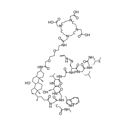 C=CN/C=N\C[C@H](NC(=O)CNC(=O)[C@@H](NC(=O)[C@H](C)NC(=O)[C@H](Cc1c[nH]c2ccccc12)NC(=O)[C@H](CCC(N)=O)NC(=O)CC[C@@H](C)[C@H]1CCC2C3C(C[C@H](O)[C@@]21C)[C@@]1(C)CC[C@H](NC(=O)COCCOCCNC(=O)CN2CCN(CC(=O)O)CCN(CC(=O)O)CCN(CC(=O)O)CC2)CC1C[C@H]3O)C(C)C)C(=O)N[C@@H](CC(C)C)C(=O)N[C@@H](CCSC)C(N)=O